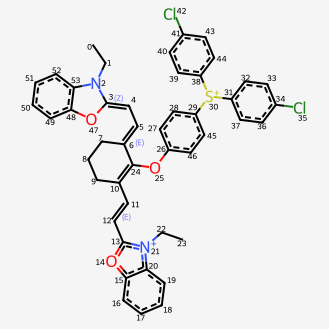 CCN1/C(=C/C=C2\CCCC(/C=C/c3oc4ccccc4[n+]3CC)=C2Oc2ccc([S+](c3ccc(Cl)cc3)c3ccc(Cl)cc3)cc2)Oc2ccccc21